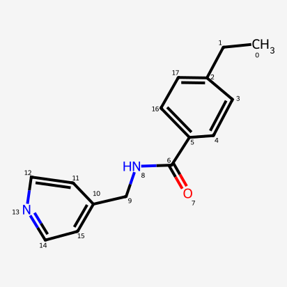 CCc1ccc(C(=O)NCc2ccncc2)cc1